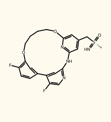 C[S@@](=N)(=O)Cc1cc2nc(c1)OCCCCOc1cc(ccc1F)-c1cc(ncc1F)N2